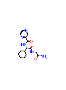 NC(=O)CNC(=O)[C@@H](NC(=O)c1cnccn1)C1CCCCC1